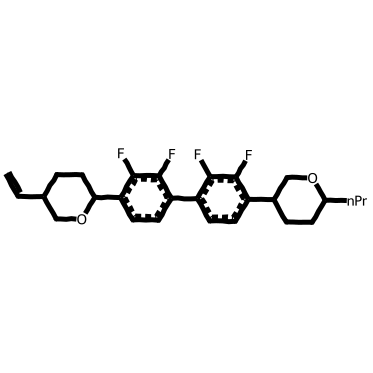 C=CC1CCC(c2ccc(-c3ccc(C4CCC(CCC)OC4)c(F)c3F)c(F)c2F)OC1